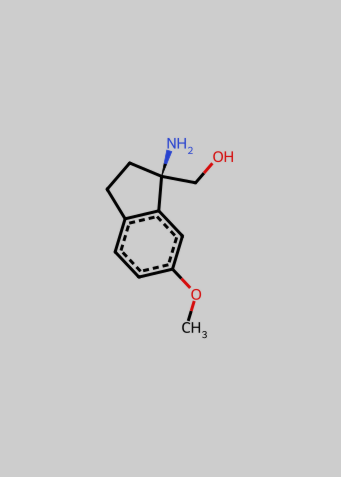 COc1ccc2c(c1)[C@@](N)(CO)CC2